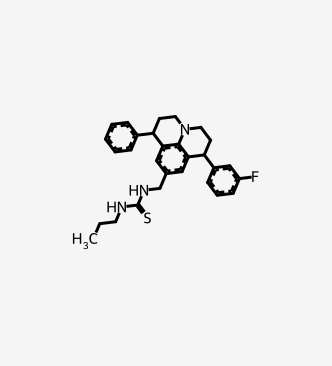 CCCNC(=S)NCc1cc2c3c(c1)C(c1cccc(F)c1)CCN3CCC2c1ccccc1